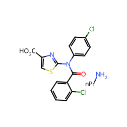 CCCN.O=C(O)c1csc(N(C(=O)c2ccccc2Cl)c2ccc(Cl)cc2)n1